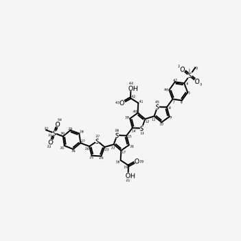 CS(=O)(=O)c1ccc(-c2ccc(-c3sc(-c4cc(CC(=O)O)c(-c5ccc(-c6ccc(S(C)(=O)=O)cc6)s5)s4)cc3CC(=O)O)s2)cc1